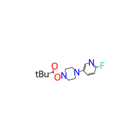 CC(C)(C)C(=O)ON1CCN(c2ccc(F)nc2)CC1